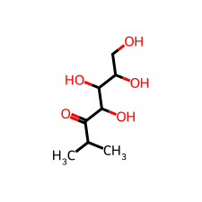 CC(C)C(=O)C(O)C(O)C(O)CO